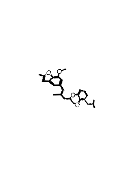 COc1cc(CC(C)CC2COc3c(CC(C)C)cccc3O2)cc2cc(C)oc12